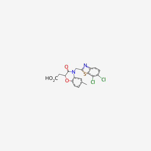 Cc1ccc2c(c1)N(Cc1nc3ccc(Cl)c(Cl)c3s1)C(=O)C(CC(=O)O)O2